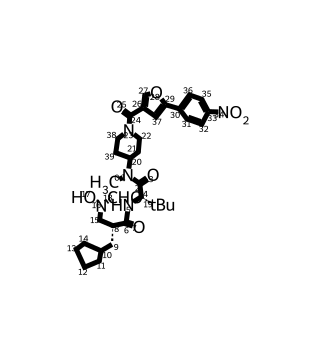 CN(C(=O)[C@@H](NC(=O)[C@H](CC1CCCC1)CN(O)C=O)C(C)(C)C)C1CCN(C(=O)c2coc(-c3ccc([N+](=O)[O-])cc3)c2)CC1